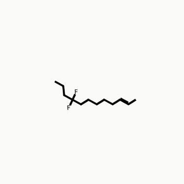 CC=CCCCCCC(F)(F)CCC